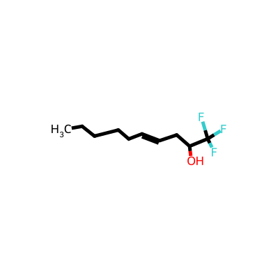 CCCCCC=CCC(O)C(F)(F)F